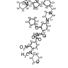 CN(c1ccc(S(=O)(=O)NC(=O)c2ccc(N3CCN(Cc4cccc(-c5ccc(CN6C7CCCC6CC7)s5)c4)CC3)cc2Oc2ccccc2)cc1[N+](=O)[O-])C1CCOCC1